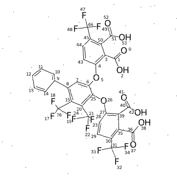 O=C(O)c1c(Oc2cc(-c3ccccc3)c(C(F)(F)F)c(C(F)(F)F)c2Oc2ccc(C(F)(F)F)c(C(=O)O)c2C(=O)O)ccc(C(F)(F)F)c1C(=O)O